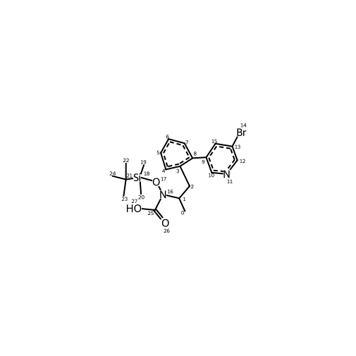 CC(Cc1ccccc1-c1cncc(Br)c1)N(O[Si](C)(C)C(C)(C)C)C(=O)O